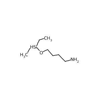 CC[SiH](CC)OCCCCN